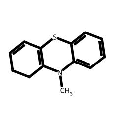 CN1C2=C(C=CCC2)Sc2ccccc21